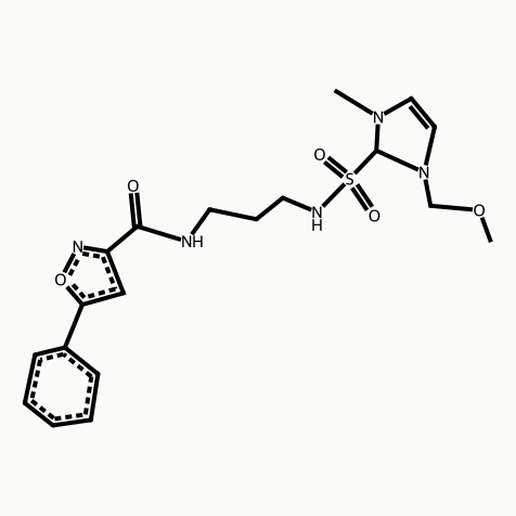 COCN1C=CN(C)C1S(=O)(=O)NCCCNC(=O)c1cc(-c2ccccc2)on1